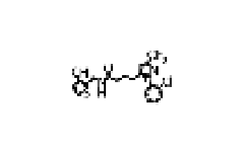 Cc1ccsc1CNC(=O)CCCc1cc(C(F)(F)F)nn1-c1ccccc1Cl